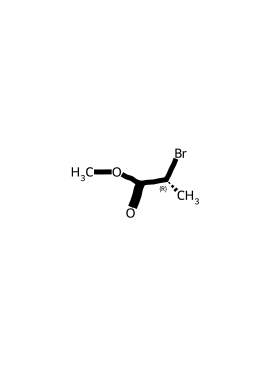 COC(=O)[C@@H](C)Br